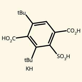 CC(C)(C)c1cc(C(=O)O)c(S(=O)(=O)O)c(C(C)(C)C)c1C(=O)O.[KH]